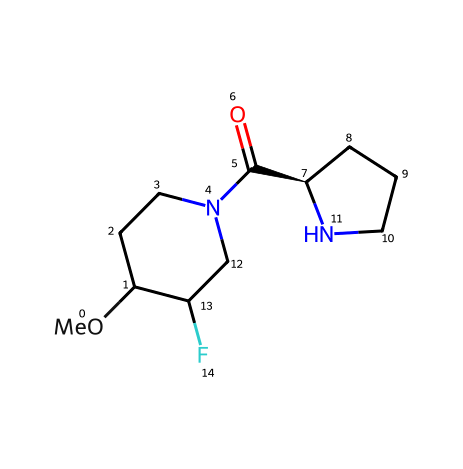 COC1CCN(C(=O)[C@H]2CCCN2)CC1F